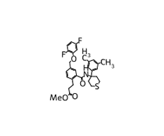 COC(=O)CCc1ccc(COc2cc(F)ccc2F)cc1C(=O)NC1(c2cc(C)cc(C)c2)CCSCC1